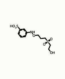 O=S(=O)(CCO)CCCONc1cccc(S(=O)(=O)O)c1